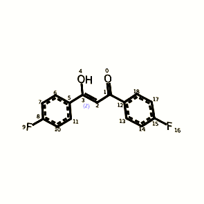 O=C(/C=C(\O)c1ccc(F)cc1)c1ccc(F)cc1